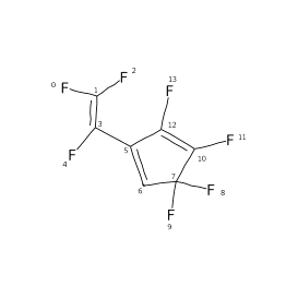 FC(F)=C(F)C1=CC(F)(F)C(F)=C1F